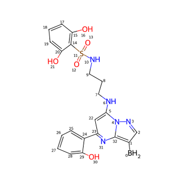 Bc1cnn2c(NCCCNS(=O)(=O)c3c(O)cccc3O)cc(-c3ccccc3O)nc12